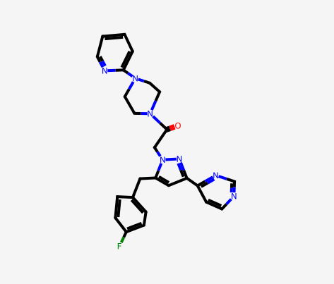 O=C(Cn1nc(-c2ccncn2)cc1Cc1ccc(F)cc1)N1CCN(c2ccccn2)CC1